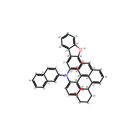 c1ccc(N(c2ccc3ccccc3c2)c2ccc3oc4ccccc4c3c2)c(-c2cccc3cccc(C4CCCCC4)c23)c1